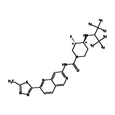 [2H]C([2H])([2H])C(N[C@H]1CCN(C(=O)Nc2cc3nc(-c4nnc(C)s4)ccc3cn2)C[C@@H]1F)C([2H])([2H])[2H]